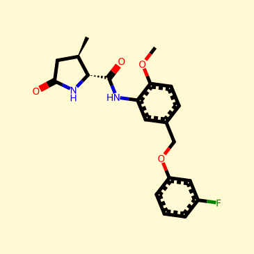 COc1ccc(COc2cccc(F)c2)cc1NC(=O)[C@@H]1NC(=O)C[C@H]1C